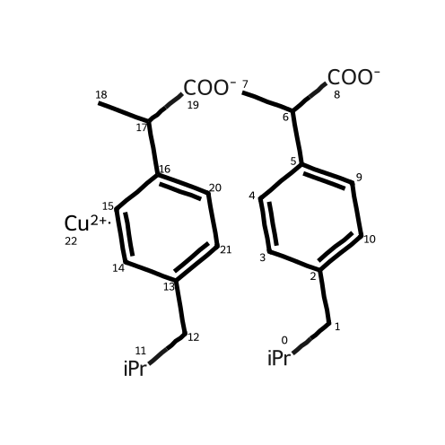 CC(C)Cc1ccc(C(C)C(=O)[O-])cc1.CC(C)Cc1ccc(C(C)C(=O)[O-])cc1.[Cu+2]